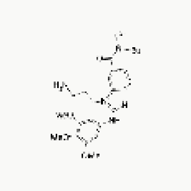 CCCN(C(=O)c1ccc2nc(Nc3cc(OC)c(OC)c(OC)c3)n(CCCN)c2c1)C(C)CC